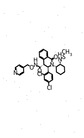 CSN[C@H]1CCCC[C@@H]1N1C(=O)c2ccccc2[C@@H](C(=O)NOCc2ccncc2)[C@@H]1c1ccc(Cl)cc1Cl